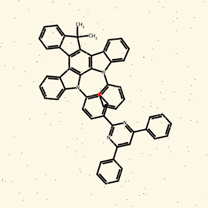 CC1(C)c2ccccc2-c2c1c1c3ccccc3n(-c3ccccc3)c1c1c2c2ccccc2n1-c1ccc(-c2nc(-c3ccccc3)cc(-c3ccccc3)n2)cc1